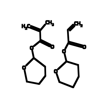 C=C(C)C(=O)OC1CCCCO1.C=CC(=O)OC1CCCCO1